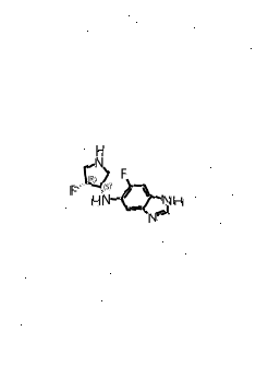 Fc1cc2[nH]cnc2cc1N[C@H]1CNC[C@H]1F